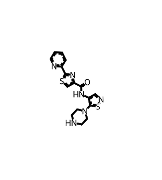 O=C(Nc1cnsc1N1CCNCC1)c1csc(-c2ccccn2)n1